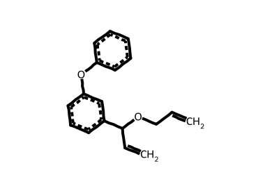 C=CCOC(C=C)c1cccc(Oc2ccccc2)c1